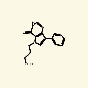 CCOC(=O)CCCn1cc(-c2cccnc2)c2nc[nH]c(=O)c21